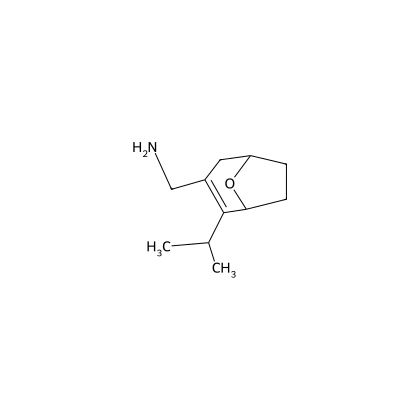 CC(C)C1=C(CN)CC2CCC1O2